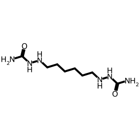 NC(=O)NNCCCCCCNNC(N)=O